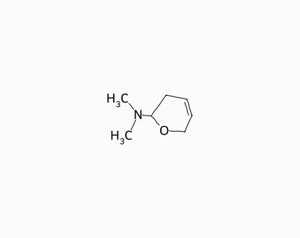 CN(C)C1CC=CCO1